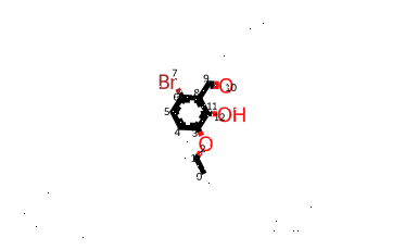 CCOc1ccc(Br)c(C=O)c1O